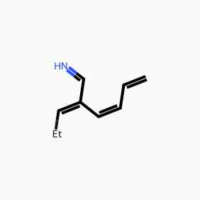 C=C/C=C\C(C=N)=C/CC